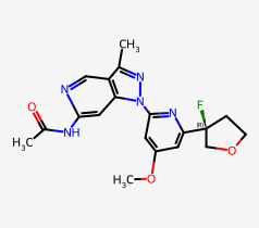 COc1cc(-n2nc(C)c3cnc(NC(C)=O)cc32)nc([C@]2(F)CCOC2)c1